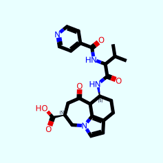 CC(C)C(NC(=O)c1ccncc1)C(=O)N[C@H]1CCc2ccn3c2C1C(=O)C[C@H](C(=O)O)C3